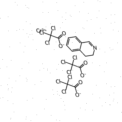 C1=NCCc2ccccc21.O=C([O-])C(Cl)(Cl)Cl.O=C([O-])C(Cl)(Cl)Cl.O=C([O-])C(Cl)(Cl)Cl.[Cr+3]